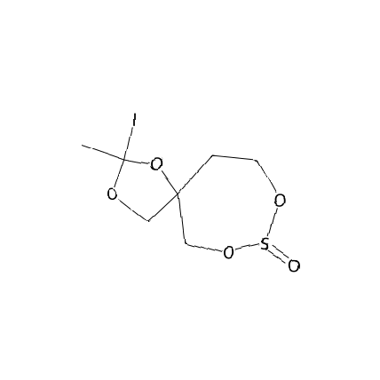 CC1(I)OCC2(CCOS(=O)OC2)O1